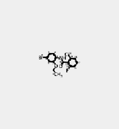 CCOc1cc(Br)ccc1NC(=O)c1c(F)cccc1Cl